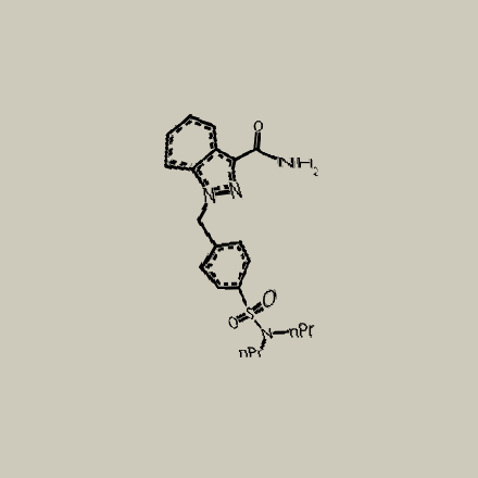 CCCN(CCC)S(=O)(=O)c1ccc(Cn2nc(C(N)=O)c3ccccc32)cc1